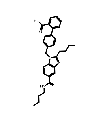 CCCCNC(=O)c1ccc2c(c1)nc(CCCC)n2Cc1ccc(-c2ccccc2C(=O)O)cc1